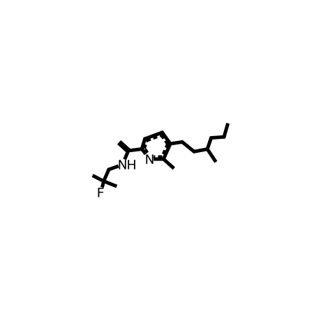 C=C(NCC(C)(C)F)c1ccc(CCC(C)CCC)c(C)n1